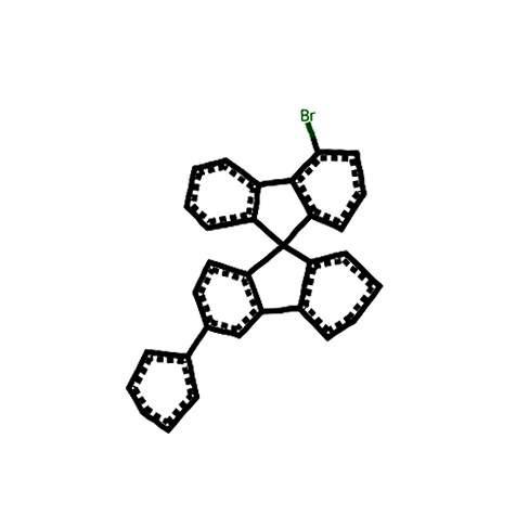 Brc1cccc2c1-c1ccccc1C21c2ccccc2-c2cc(-c3ccccc3)ccc21